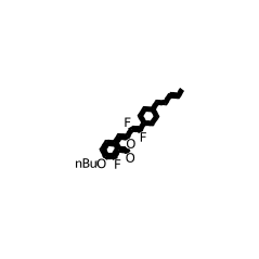 C/C=C/CCC1CCC(/C(F)=C(\F)c2cc3ccc(OCCCC)c(F)c3c(=O)o2)CC1